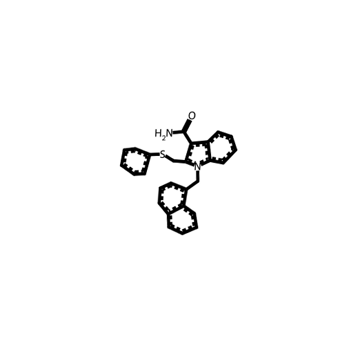 NC(=O)c1c(CSc2ccccc2)n(Cc2cccc3ccccc23)c2ccccc12